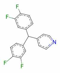 Fc1ccc(C(c2ccncc2)c2ccc(F)c(F)c2)cc1F